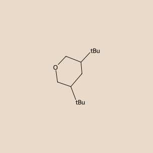 CC(C)(C)C1COCC(C(C)(C)C)C1